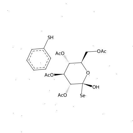 CC(=O)OC[C@H]1O[C@](O)([Se])[C@H](OC(C)=O)[C@@H](OC(C)=O)[C@@H]1OC(C)=O.Sc1ccccc1